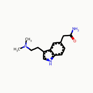 CN(C)CCc1c[nH]c2ccc(CC(N)=O)cc12